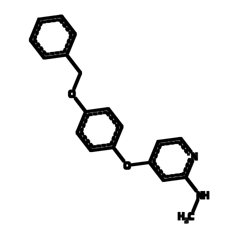 CNc1cc(Oc2ccc(OCc3ccccc3)cc2)ccn1